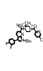 CC1(C)CN(C(=O)c2ccc(C(=O)O)cn2)CCN1C(=O)c1ccc2c(-c3ccc(Cl)c(F)c3)cn(C(C)(C)C)c2n1